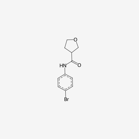 O=C(Nc1ccc(Br)cc1)C1CCOC1